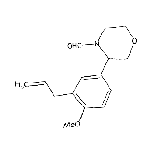 C=CCc1cc(C2COCCN2C=O)ccc1OC